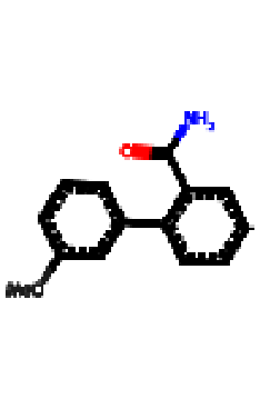 COc1cccc(-c2cc[c]cc2C(N)=O)c1